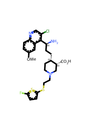 COc1ccc2ncc(Cl)c([C@@H](N)CC[C@H]3CCN(CCSc4ccc(F)s4)C[C@H]3C(=O)O)c2c1